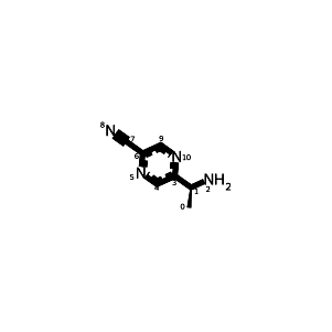 C[C@H](N)c1cnc(C#N)cn1